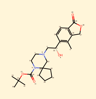 Cc1c([C@H](O)CN2CCN(C(=O)OC(C)(C)C)C3(CCCC3)C2)ccc2c1COC2=O